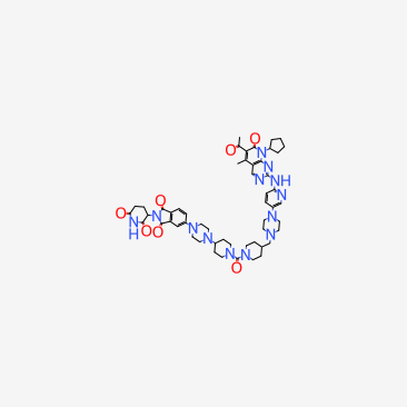 CC(=O)c1c(C)c2cnc(Nc3ccc(N4CCN(CC5CCN(C(=O)N6CCC(N7CCN(c8ccc9c(c8)C(=O)N(C8CCC(=O)NC8=O)C9=O)CC7)CC6)CC5)CC4)cn3)nc2n(C2CCCC2)c1=O